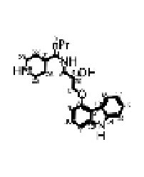 CCCC(NC[C@H](O)COc1cccc2[nH]c3ccccc3c12)C1CCNCC1